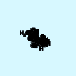 COC[C@@H]1CCC[C@@H]2SCC[C@H](NC(=O)[C@H](CC[C@H](Cc3ccccc3)C(=O)N[C@H]3CCS[C@H]4CCC[C@@H](COC)N4C3=O)Cc3ccccc3)C(=O)N12